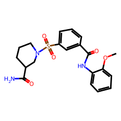 COc1ccccc1NC(=O)c1cccc(S(=O)(=O)N2CCCC(C(N)=O)C2)c1